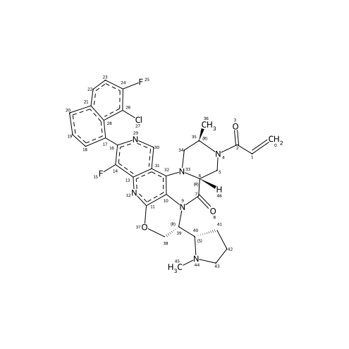 C=CC(=O)N1C[C@@H]2C(=O)N3c4c(nc5c(F)c(-c6cccc7ccc(F)c(Cl)c67)ncc5c4N2C[C@H]1C)OC[C@H]3[C@@H]1CCCN1C